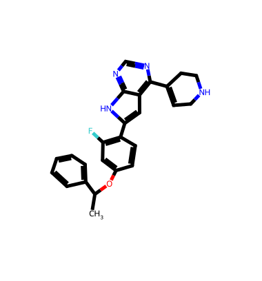 CC(Oc1ccc(-c2cc3c(C4=CCNCC4)ncnc3[nH]2)c(F)c1)c1ccccc1